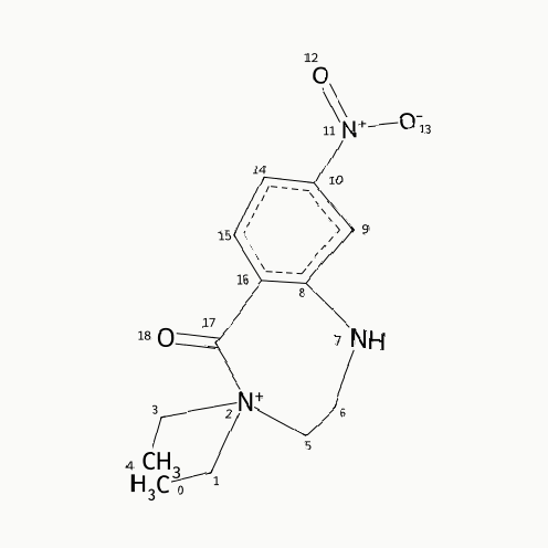 CC[N+]1(CC)CCNc2cc([N+](=O)[O-])ccc2C1=O